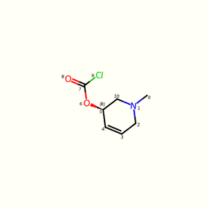 CN1CC=C[C@@H](OC(=O)Cl)C1